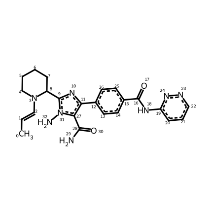 CC=CN1CCCCC1c1nc(-c2ccc(C(=O)Nc3cccnn3)cc2)c(C(N)=O)n1N